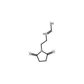 O=C1CCC(=O)N1CC[SH]=CS